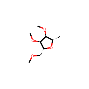 COC[C@H]1O[C@@H](C)[C@H](OC)[C@@H]1OC